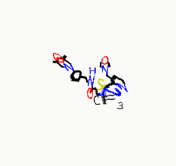 CC1CN(c2cccc(CCNC(=O)c3sc(-c4ncccc4CN4CCOCC4)nc3C(F)(F)F)c2)CC(C)O1